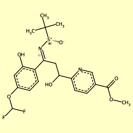 COC(=O)c1ccc(C(O)C/C(=N\[S@@+]([O-])C(C)(C)C)c2ccc(OC(F)F)cc2O)nc1